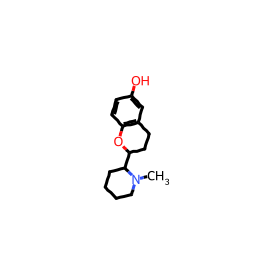 CN1CCCCC1C1CCc2cc(O)ccc2O1